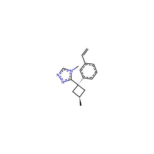 C=Cc1cccc([C@]2(c3nncn3C)C[C@@H](C)C2)c1